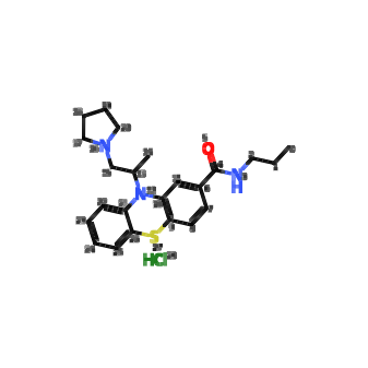 CCCNC(=O)c1ccc2c(c1)N(C(C)CN1CCCC1)c1ccccc1S2.Cl